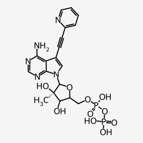 C[C@@]1(O)C(O)C(COP(=O)(O)OP(=O)(O)O)OC1n1cc(C#Cc2ccccn2)c2c(N)ncnc21